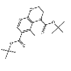 Cc1c(C(=O)OC(C)(C)C)cnc2c1N(C(=O)OC(C)(C)C)CCO2